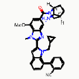 COc1cc(C(=O)N2C[C@@H]3CC[C@@H]2C3N)cc2nc(-c3cc4cccc(-c5ccccc5C#N)c4n3CC3CC3)n(C)c12